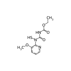 CCOC(=O)NC(=O)N(S)c1ncccc1OC